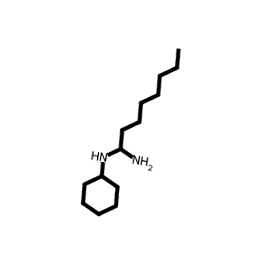 CCCCCCCC(N)NC1CCCCC1